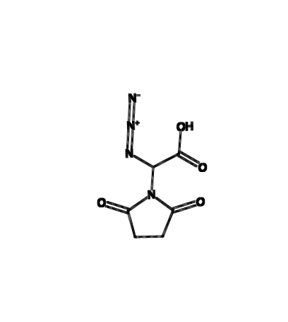 [N-]=[N+]=NC(C(=O)O)N1C(=O)CCC1=O